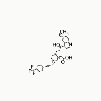 COc1ccc2nccc([C@@H](O)CC[C@@H]3CCN(CC#Cc4ccc(C(F)(F)F)cc4)C[C@@H]3CC(=O)O)c2c1